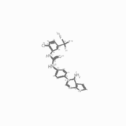 NC1c2ccsc2N=CN1c1ccc(NC(=O)Nc2cc(C(F)(F)F)ccc2Cl)cc1